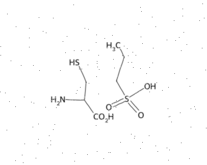 CCCS(=O)(=O)O.NC(CS)C(=O)O